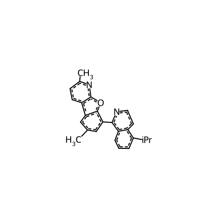 Cc1cc(-c2nccc3c(C(C)C)cccc23)c2oc3nc(C)ccc3c2c1